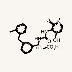 Cc1ccccc1Cc1cccc([C@@H](CC(=O)O)NC(=O)Nc2c(O)ccn(C)c2=O)c1